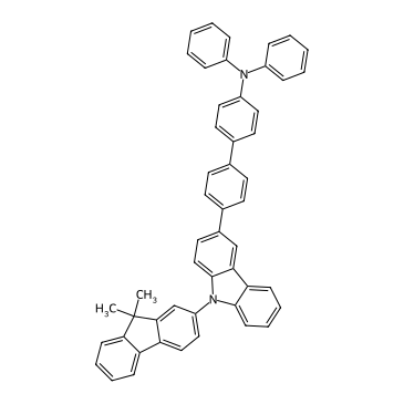 CC1(C)c2ccccc2-c2ccc(-n3c4ccccc4c4cc(-c5ccc(-c6ccc(N(c7ccccc7)c7ccccc7)cc6)cc5)ccc43)cc21